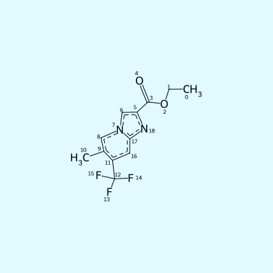 CCOC(=O)c1cn2cc(C)c(C(F)(F)F)cc2n1